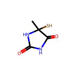 CC1(S)NC(=O)NC1=O